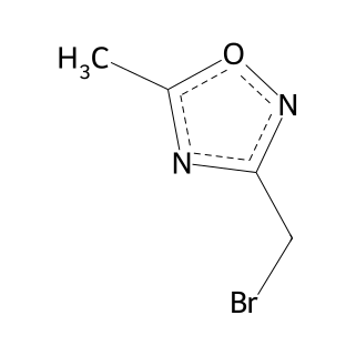 Cc1nc(CBr)no1